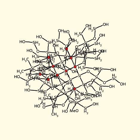 CO[Si]([SiH3])([SiH2]O)[Si](O[Si](C)(C)O)(O[Si]([Si](O[Si](C)(C)O[Si](C)(C)C)(O[Si](O[Si](O[SiH2]O)([SiH2]O)[SiH2]O)([Si](O[SiH2]O)([SiH2]O)[SiH2]O)[Si](O[SiH2]O)([SiH2]O)[SiH2]O)[Si](O[Si](O[SiH2]O)([SiH2]O)[SiH2]O)([Si](O[SiH2]O)([SiH2]O)[SiH2]O)[Si](O[SiH2]O)([SiH2]O)[SiH2]O)([Si](O[Si](O[SiH2]O)([SiH2]O)[SiH2]O)([Si](O[SiH2]O)([SiH2]O)[SiH2]O)[Si](O[SiH2]O)([SiH2]O)[SiH2]O)[Si](O[Si](O[SiH2]O)([SiH2]O)[SiH2]O)([Si](O[SiH2]O)([SiH2]O)[SiH2]O)[Si](O[SiH2]O)([SiH2]O)[SiH2]O)[Si](O[SiH2]O)([SiH2]O)[SiH](C)O